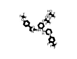 Fc1cc(N2CCC[C@H](N[C@@H]3CCCC[C@H]3Nc3ncc(-c4ccc(OC(F)(F)F)cc4)o3)C2)ccc1C(F)(F)F.O=C(O)C(F)(F)F.O=C(O)C(F)(F)F